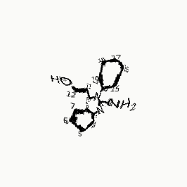 NC(=Nc1ccccc1)N(CC=CO)c1ccccc1